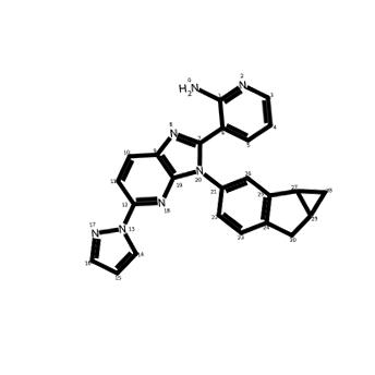 Nc1ncccc1-c1nc2ccc(-n3cccn3)nc2n1-c1ccc2c(c1)C1CC1C2